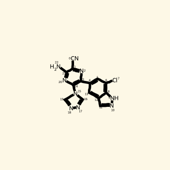 N#Cc1nc(-c2cc(Cl)c3[nH]ncc3c2)c(-n2cnnc2)nc1N